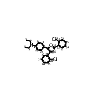 CCN(CC)c1ccc(-c2oc(-c3ccccc3Cl)nc2-c2ccccc2Cl)cc1